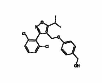 CC(C)c1onc(-c2c(Cl)cccc2Cl)c1COc1ccc(CO)cc1